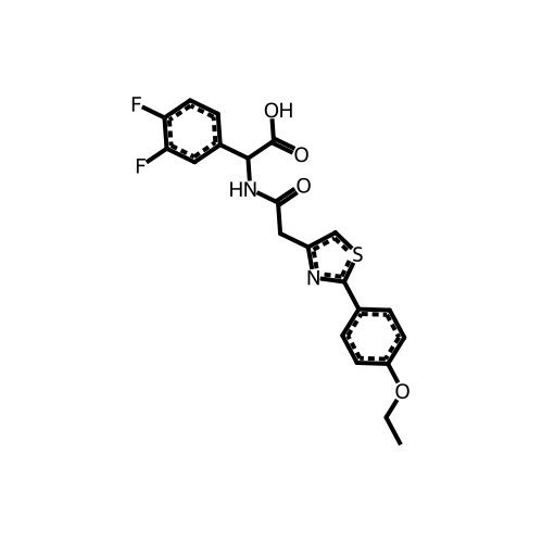 CCOc1ccc(-c2nc(CC(=O)NC(C(=O)O)c3ccc(F)c(F)c3)cs2)cc1